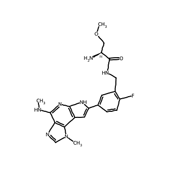 CNc1nc2[nH]c(-c3ccc(F)c(CNC(=O)[C@@H](N)COC)c3)cc2c2c1ncn2C